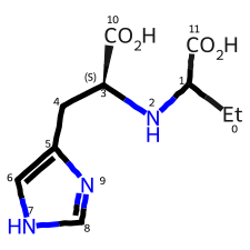 CCC(N[C@@H](Cc1c[nH]cn1)C(=O)O)C(=O)O